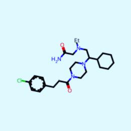 CCN(CC(N)=O)CC(C1CCCCC1)N1CCN(C(=O)[CH]Cc2ccc(Cl)cc2)CC1